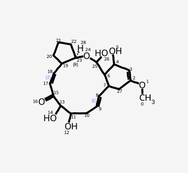 COC1=CC(O)C2C(/C=C/CC(O)C(O)C(=O)/C=C\C3CCC[C@H]3OC2O)C1